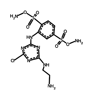 NCCNc1nc(Cl)nc(Nc2cc(S(=O)(=O)ON)ccc2S(=O)(=O)ON)n1